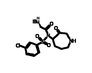 [CH2]C[C@H](C)CC(=O)N(C1CCCNCC1=O)S(=O)(=O)c1cccc(Cl)c1